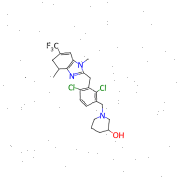 CC1CC(C(F)(F)F)=Cc2c1nc(Cc1c(Cl)ccc(CN3CCCC(O)C3)c1Cl)n2C